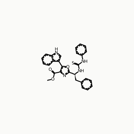 COC(=O)c1nc([C@H](Cc2ccccc2)NC(=S)Nc2ccccc2)oc1-c1c[nH]c2ccccc12